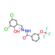 O=C(N/N=C/c1cc(Cl)cc(Cl)c1O)c1cccc(OC(F)(F)F)c1